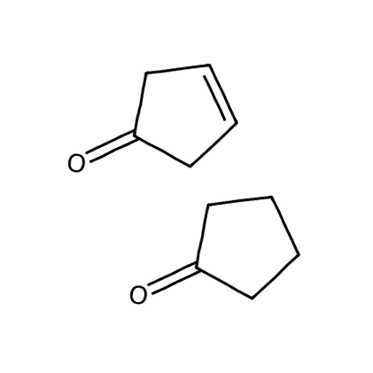 O=C1CC=CC1.O=C1CCCC1